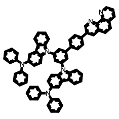 c1ccc(N(c2ccccc2)c2ccc3c(c2)c2ccccc2n3-c2cc(-c3ccc(-c4cnc5c(ccc6cccnc65)c4)cc3)cc(-n3c4ccccc4c4cc(N(c5ccccc5)c5ccccc5)ccc43)c2)cc1